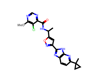 COc1ncnc(C(=O)NC(C)c2cc(-c3nc4ccc(C5(C)CC5)nc4[nH]3)no2)c1Cl